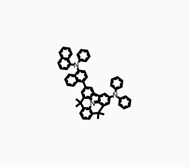 CC1(C)c2cccc3c2-n2c4c1cc(-c1ccc(N(c5ccccc5)c5cccc6ccccc56)c5ccccc15)cc4c1cc(N(c4ccccc4)c4ccccc4)cc(c12)C3(C)C